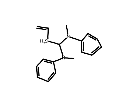 C=C[SiH2]C(N(C)c1ccccc1)N(C)c1ccccc1